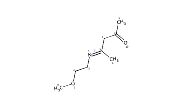 COCC/N=C(\C)CC(C)=O